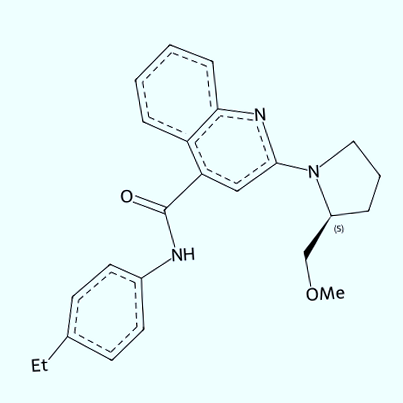 CCc1ccc(NC(=O)c2cc(N3CCC[C@H]3COC)nc3ccccc23)cc1